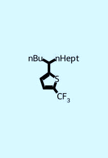 CCCCCCCC(CCCC)c1ccc(C(F)(F)F)s1